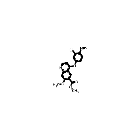 COC(=O)c1cc2c(Oc3ccc(N=S)c(Cl)c3)ccnc2cc1OC